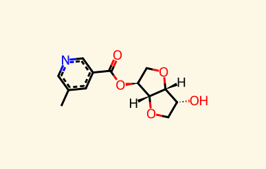 Cc1cncc(C(=O)O[C@H]2CO[C@H]3[C@@H]2OC[C@H]3O)c1